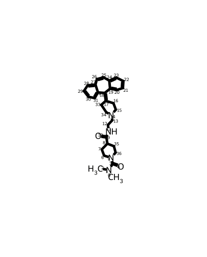 CN(C)C(=O)N1CCC(C(=O)NCCN2CCC(=C3c4ccccc4C=Cc4ccccc43)CC2)CC1